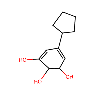 OC1=CC(C2CCCC2)=CC(O)C1O